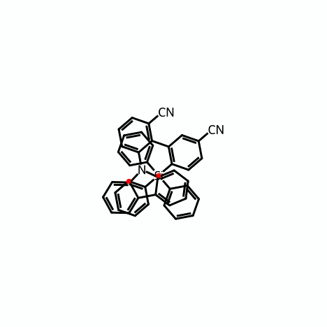 N#Cc1ccc([Si](c2ccccc2)(c2ccccc2)c2ccccc2)c(-c2c(C#N)cccc2-n2c3ccccc3c3ccccc32)c1